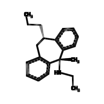 CCC[C@H]1Cc2ccccc2[C@@](C)(NCC)c2ccccc21